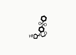 O=S(=O)(c1ccccc1)c1ccc2c(c1)OCCN2C1CCNC1